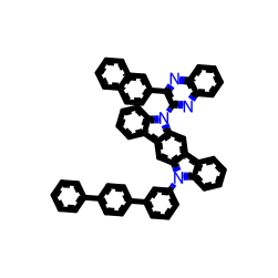 c1ccc(-c2ccc(-c3cccc(-n4c5ccccc5c5cc6c(cc54)c4ccccc4n6-c4nc5ccccc5nc4-c4ccc5ccccc5c4)c3)cc2)cc1